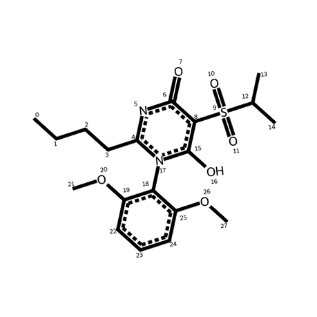 CCCCc1nc(=O)c(S(=O)(=O)C(C)C)c(O)n1-c1c(OC)cccc1OC